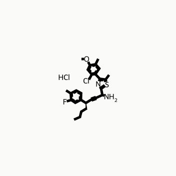 CCCC[C@H](C#CC(N)c1nc(-c2cc(C)c(OC)cc2Cl)c(C)s1)c1ccc(C)c(F)c1.Cl